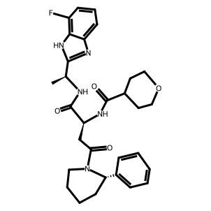 C[C@H](NC(=O)[C@H](CC(=O)N1CCCC[C@H]1c1ccccc1)NC(=O)C1CCOCC1)c1nc2cccc(F)c2[nH]1